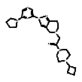 O=C(CN1CCc2nn(-c3cncc(N4CCCC4)n3)cc2C1)N1CCN(C2CCC2)CC1